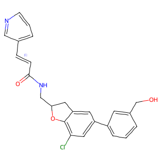 O=C(/C=C/c1cccnc1)NCC1Cc2cc(-c3cccc(CO)c3)cc(Cl)c2O1